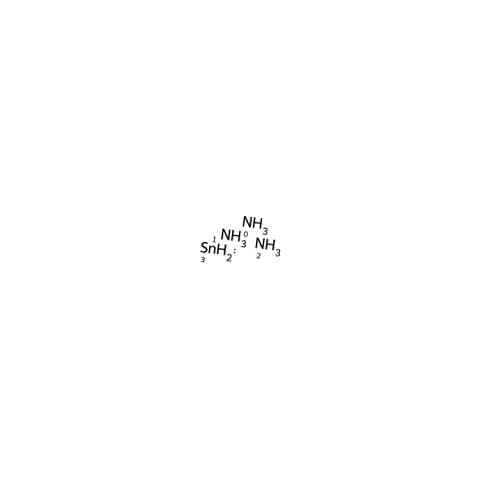 N.N.N.[SnH2]